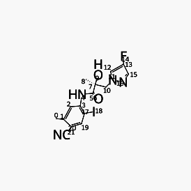 Cc1cc(NC(=O)[C@@](C)(O)Cn2cc(F)cn2)c(I)cc1C#N